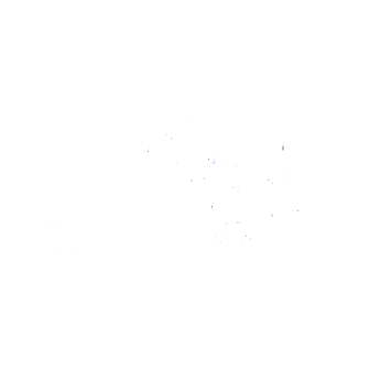 CC[C@@H](C=O)NC(=O)[C@H](CO)NC(=O)[C@H](Cc1cncn1CCCCCCCCc1ccccc1)NC(=O)[C@H](CC(C)C)NC(=O)[C@@H]1CCCN1C(C)=O